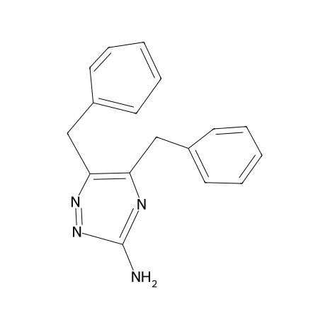 Nc1nnc(Cc2ccccc2)c(Cc2ccccc2)n1